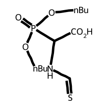 CCCCOP(=O)(OCCCC)C(NC=S)C(=O)O